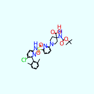 Cc1cccc(C)c1-c1nc(NS(=O)(=O)c2cccc(N3CCC(NC(=O)OC(C)(C)C)(C(=O)O)CC3)n2)ccc1Cl